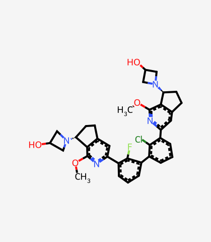 COc1nc(-c2cccc(-c3cccc(-c4cc5c(c(OC)n4)[C@@H](N4CC(O)C4)CC5)c3Cl)c2F)cc2c1[C@H](N1CC(O)C1)CC2